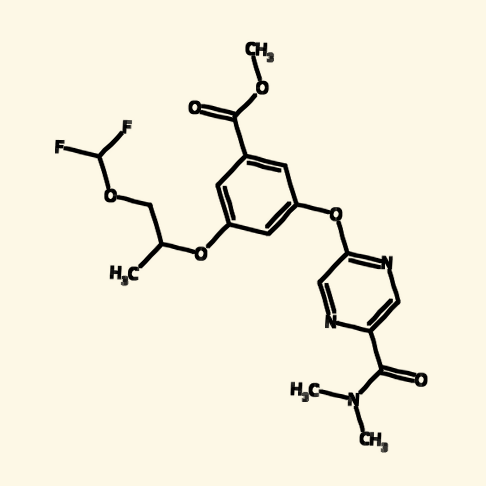 COC(=O)c1cc(Oc2cnc(C(=O)N(C)C)cn2)cc(OC(C)COC(F)F)c1